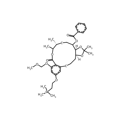 COCOc1cc(OCC[Si](C)(C)C)cc2c1C(=O)OC(C)[C@H](C)CCC(OC(=O)c1ccccc1)[C@H]1OC(C)(C)O[C@H]1CCC2